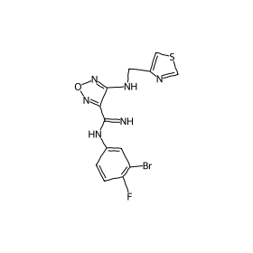 N=C(Nc1ccc(F)c(Br)c1)c1nonc1NCc1cscn1